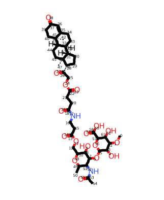 COC1C(O)C(OC2C(O)C(COC(=O)CCNC(=O)CCC(=O)OCC(=O)[C@H]3CC[C@H]4[C@@H]5CCC6=CC(=O)CC[C@]6(C)[C@H]5CC[C@]34C)OC(C)C2NC(C)=O)OC(C(=O)O)C1O